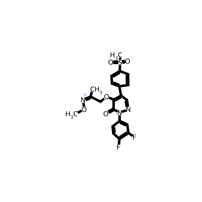 CO/N=C(/C)COc1c(-c2ccc(S(C)(=O)=O)cc2)cnn(-c2ccc(F)c(F)c2)c1=O